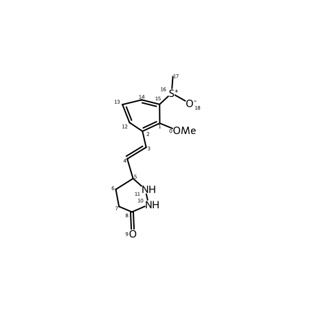 COc1c(/C=C/C2CCC(=O)NN2)cccc1[S+](C)[O-]